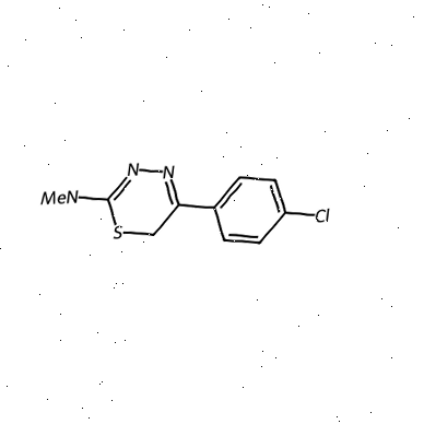 CNC1=NN=C(c2ccc(Cl)cc2)CS1